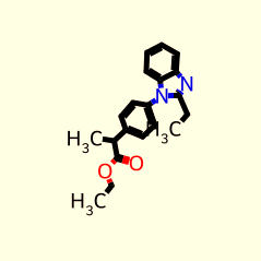 CCOC(=O)C(C)c1ccc(-n2c(CC)nc3ccccc32)cc1